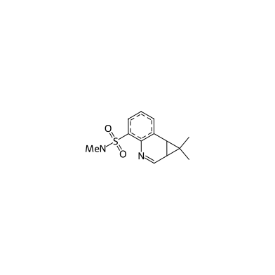 CNS(=O)(=O)c1cccc2c1N=CC1C2C1(C)C